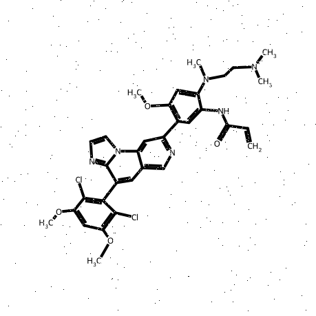 C=CC(=O)Nc1cc(-c2cc3c(cn2)cc(-c2c(Cl)c(OC)cc(OC)c2Cl)c2nccn23)c(OC)cc1N(C)CCN(C)C